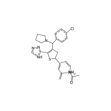 C=C(/C=C(\C=C/N)C1CC(C(c2ccc(Cl)cc2)N2CCCC2)=C(c2nnc[nH]2)S1)NC(C)=O